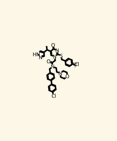 CC(c1cn[nH]c1)c1cn(CC(=O)N(CCN2CCOCC2)Cc2ccc(-c3ccc(Cl)cc3)cc2)c(SCc2ccc(F)cc2)nc1=O.Cl